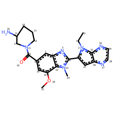 CCn1c(-c2nc3cc(C(=O)N4CCCC(N)C4)cc(OC)c3n2C)cc2nccnc21